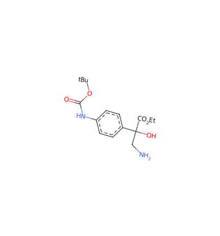 CCOC(=O)C(O)(CN)c1ccc(NC(=O)OC(C)(C)C)cc1